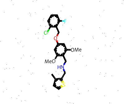 COc1cc(OCc2c(F)cccc2Cl)cc(OC)c1CNCc1sccc1C